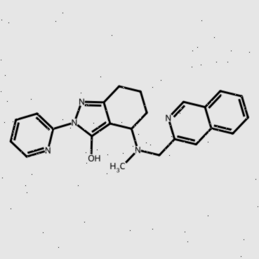 CN(Cc1cc2ccccc2cn1)C1CCCc2nn(-c3ccccn3)c(O)c21